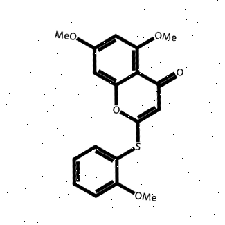 COc1cc(OC)c2c(=O)cc(Sc3ccccc3OC)oc2c1